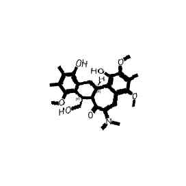 COc1c(C)c(OC)c2c(c1O)[C@@H]1Cc3c(O)c(C)c(C)c(OC)c3[C@H](CO)C1C(=O)C(N(C)C)C2